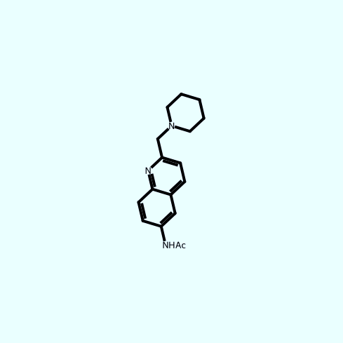 CC(=O)Nc1ccc2nc(CN3CCCCC3)ccc2c1